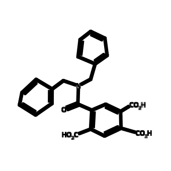 O=C(O)c1cc(C(=O)O)c(C(=O)N(Cc2ccccc2)Cc2ccccc2)cc1C(=O)O